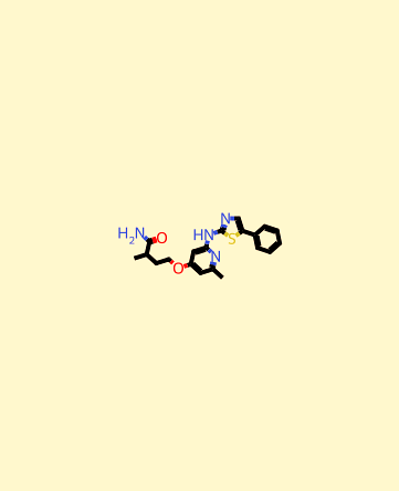 Cc1cc(OCCC(C)C(N)=O)cc(Nc2ncc(-c3ccccc3)s2)n1